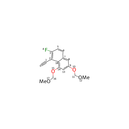 C#Cc1c(F)ccc2cc(OCOC)cc(OCOC)c12